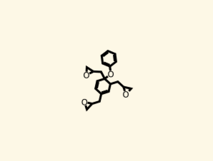 C1=CC(CC2CO2)(Oc2ccccc2)C(CC2CO2)C=C1CC1CO1